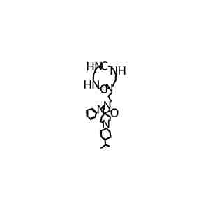 CC(C)C1CCC(N2CCC3(CC2)C(=O)N(CCCN2CCCNCCNCCCNCC2)CN3c2ccccc2)CC1